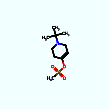 CC(C)(C)N1CC=C(OS(C)(=O)=O)CC1